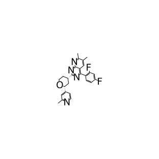 Cc1cc([C@H]2C[C@@H](c3nc(-c4ccc(F)cc4F)c4cc(C)c(C)nc4n3)CCO2)ccn1